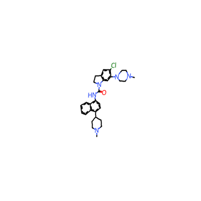 CN1CCC(c2ccc(NC(=O)N3CCc4cc(Cl)c(N5CCN(C)CC5)cc43)c3ccccc23)CC1